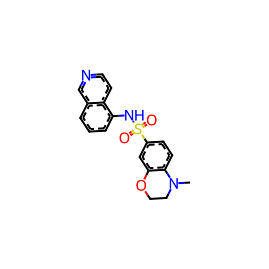 CN1CCOc2cc(S(=O)(=O)Nc3cccc4cnccc34)ccc21